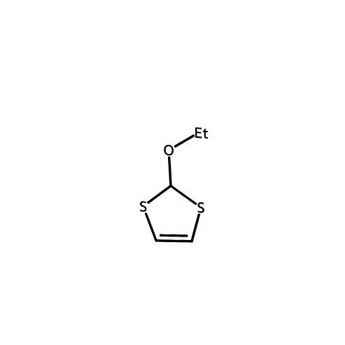 CCOC1SC=CS1